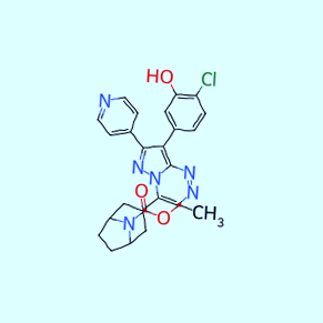 CCOC(=O)N1C2CCC1CC(c1cnnc3c(-c4ccc(Cl)c(O)c4)c(-c4ccncc4)nn13)C2